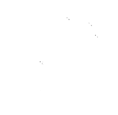 C=Nc1c(-c2ccnc(/C=C\C=C/C)c2)cnn1C